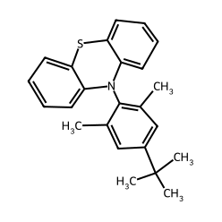 Cc1cc(C(C)(C)C)cc(C)c1N1c2ccccc2Sc2ccccc21